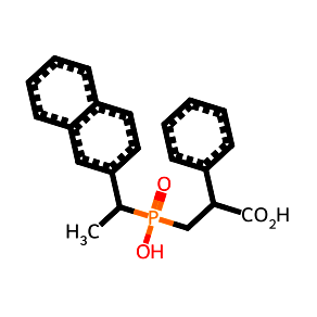 CC(c1ccc2ccccc2c1)P(=O)(O)CC(C(=O)O)c1ccccc1